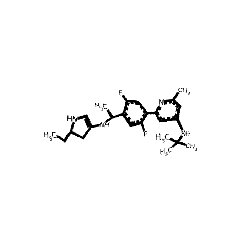 CCC1CC(NC(C)c2cc(F)c(-c3cc(NC(C)(C)C)cc(C)n3)cc2F)=CN1